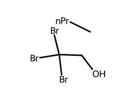 CCCC.OCC(Br)(Br)Br